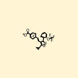 COC(=O)C12CCC(/C=C/c3c(-c4ccccc4OC(F)(F)F)noc3C3CC3)(CC1)CC2